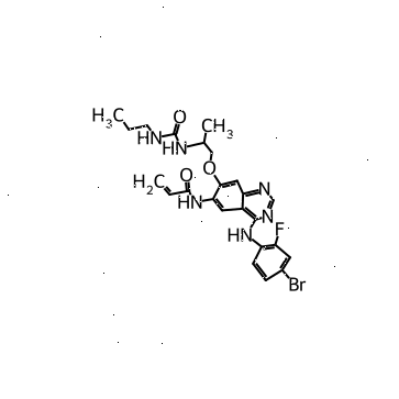 C=CC(=O)Nc1cc2c(Nc3ccc(Br)cc3F)ncnc2cc1OCC(C)NC(=O)NCCC